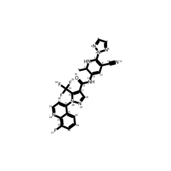 CC1NC(n2nccn2)=C(C#N)C=C1NC(=O)c1cnn(-c2ccnc3c(F)cccc23)c1C(F)(F)F